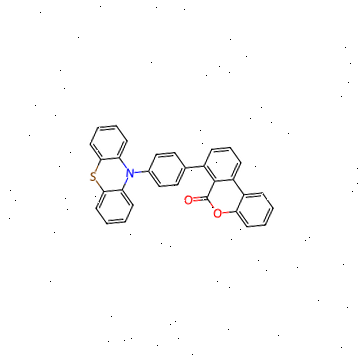 O=c1oc2ccccc2c2cccc(-c3ccc(N4c5ccccc5Sc5ccccc54)cc3)c12